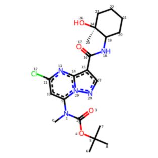 CN(C(=O)OC(C)(C)C)c1cc(Cl)nc2c(C(=O)NC3CCCC[C@]3(C)O)cnn12